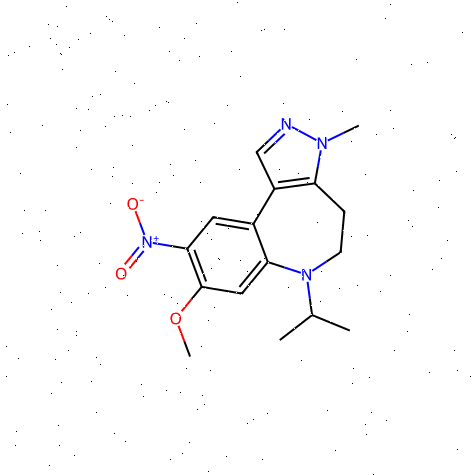 COc1cc2c(cc1[N+](=O)[O-])-c1cnn(C)c1CCN2C(C)C